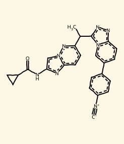 [C-]#[N+]c1ccc(-c2ccc3nnc(C(C)c4ccc5nc(NC(=O)C6CC6)cn5n4)n3c2)cc1